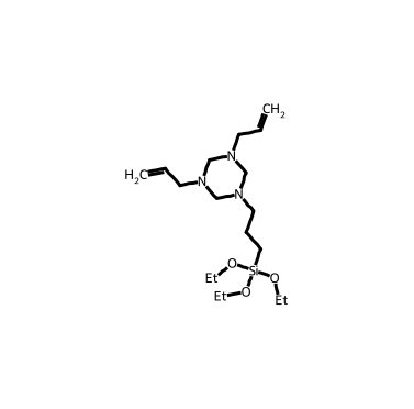 C=CCN1CN(CC=C)CN(CCC[Si](OCC)(OCC)OCC)C1